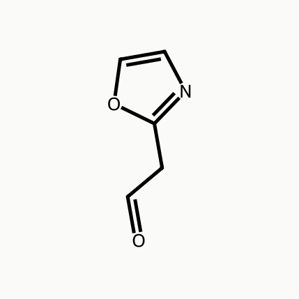 O=CCc1ncco1